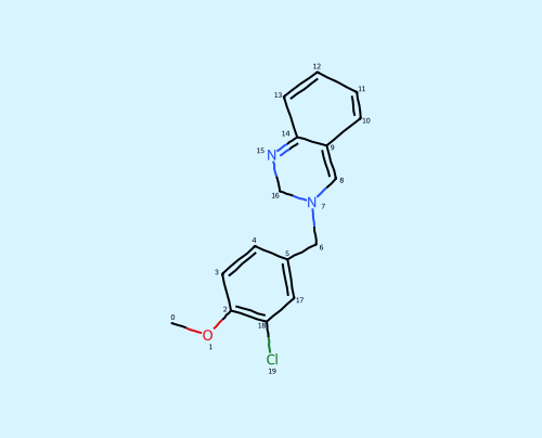 COc1ccc(CN2C=c3ccccc3=NC2)cc1Cl